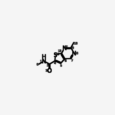 CNC(=O)c1cc2cnc(C)nc2s1